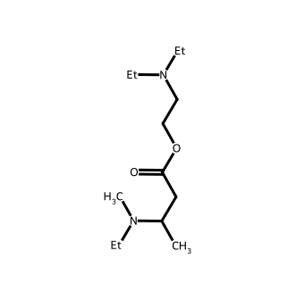 CCN(CC)CCOC(=O)CC(C)N(C)CC